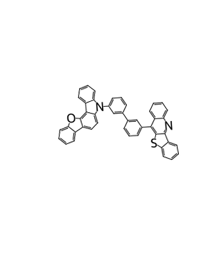 c1cc(-c2cccc(-n3c4ccccc4c4c5oc6ccccc6c5ccc43)c2)cc(-c2c3ccccc3nc3c2sc2ccccc23)c1